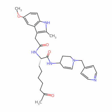 COc1ccc2[nH]c(C)c(CC(=O)N[C@@H](CCCCCC(C)=O)C(=O)NC3C=CN(Cc4ccncc4)CC3)c2c1